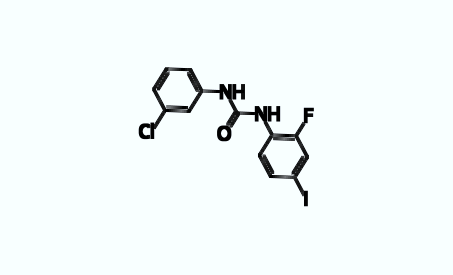 O=C(Nc1cccc(Cl)c1)Nc1ccc(I)cc1F